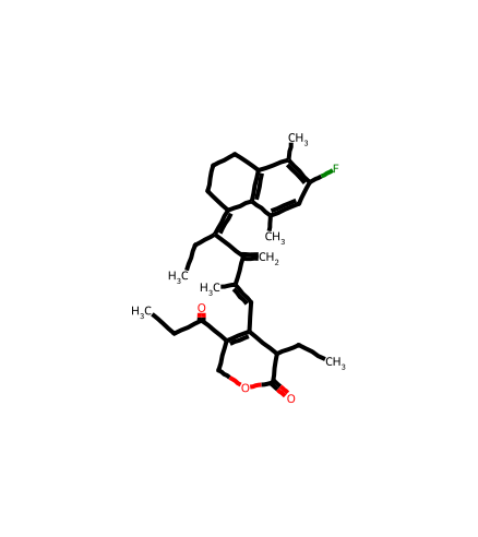 C=C(/C(CC)=C1/CCCc2c(C)c(F)cc(C)c21)/C(C)=C/C1=C(C(=O)CC)COC(=O)C1CC